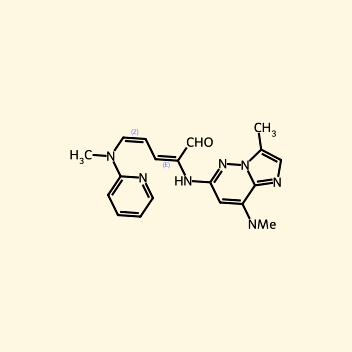 CNc1cc(N/C(C=O)=C/C=C\N(C)c2ccccn2)nn2c(C)cnc12